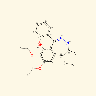 CCOc1cc2c(cc1OCC)[C@@H](CC)C(C)=NN=C2c1ccccc1O